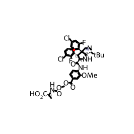 C/N=C\[C@]1(c2ccc(Cl)cc2F)[C@H](CC(C)(C)C)N[C@@H](C(=O)Nc2ccc(C(=O)OCOC(=O)N[C@@H](C)C(=O)O)cc2OC)[C@@H]1c1cccc(Cl)c1F